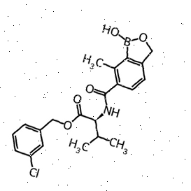 Cc1c(C(=O)N[C@H](C(=O)OCc2cccc(Cl)c2)C(C)C)ccc2c1B(O)OC2